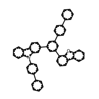 c1ccc(-c2ccc(-c3cc(-c4ccc5c6ccccc6n(-c6ccc(-c7ccccc7)cc6)c5c4)cc(-c4cccc5c4oc4ccccc45)c3)cc2)cc1